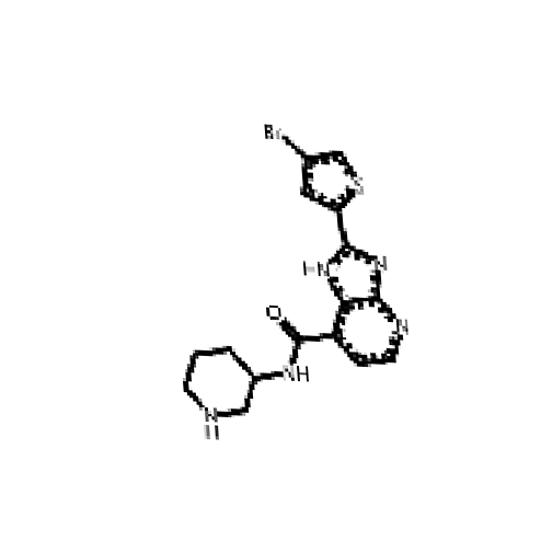 O=C(NC1CCCNC1)c1ccnc2nc(-c3cc(Br)cs3)[nH]c12